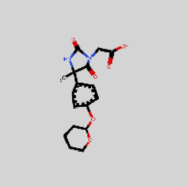 CC1(c2ccc(OC3CCCCO3)cc2)NC(=O)N(CC(=O)O)C1=O